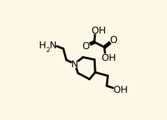 NCCN1CCC(CCO)CC1.O=C(O)C(=O)O